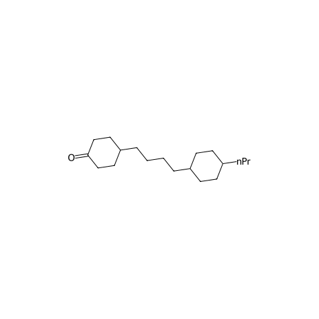 CCCC1CCC(CCCCC2CCC(=O)CC2)CC1